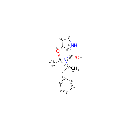 C[C@@H](Cc1ccccc1)N(C(=O)[C@@H]1CCCN1)C(=O)C(F)(F)F